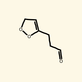 O=CCCC1=CCOO1